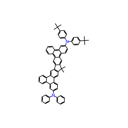 CC(C)(C)c1ccc(N(c2ccc(C(C)(C)C)cc2)c2ccc3c(c2)c2ccccc2c2cc4c(cc32)C(C)(C)c2cc3c5ccc(N(c6ccccc6)c6ccccc6)cc5c5ccccc5c3cc2-4)cc1